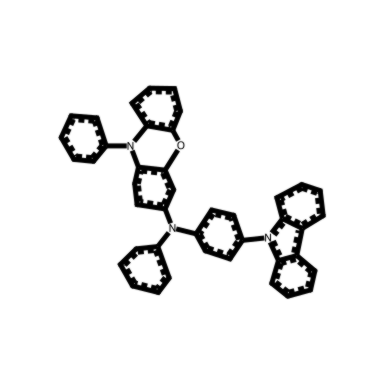 c1ccc(N(c2ccc(-n3c4ccccc4c4ccccc43)cc2)c2ccc3c(c2)Oc2ccccc2N3c2ccccc2)cc1